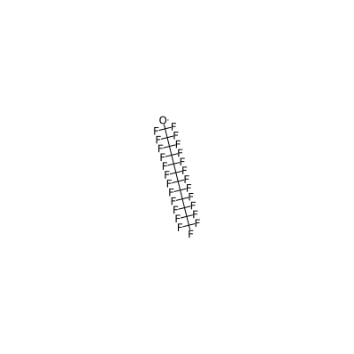 [O]C(F)(F)C(F)(F)C(F)(F)C(F)(F)C(F)(F)C(F)(F)C(F)(F)C(F)(F)C(F)(F)C(F)(F)C(F)(F)C(F)(F)F